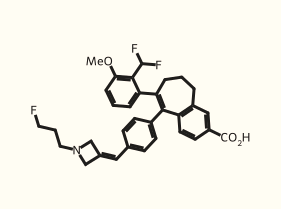 COc1cccc(C2=C(c3ccc(C=C4CN(CCCF)C4)cc3)c3ccc(C(=O)O)cc3CCC2)c1C(F)F